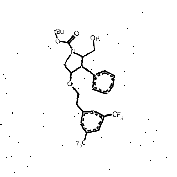 CC(C)(C)OC(=O)N1CC(OCCc2cc(C(F)(F)F)cc(C(F)(F)F)c2)C(c2ccccc2)C1CO